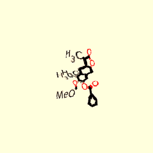 COCO[C@H]1[C@@H](OC(=O)c2ccccc2)C=C2C=C3OC(=O)C(C)=C3C[C@]2(C)[C@H]1C